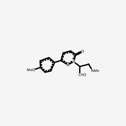 CNCC(C=O)n1nc(-c2ccc(OC)cc2)ccc1=O